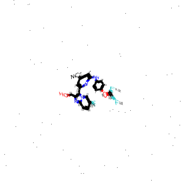 N#Cc1cc(Nc2ccc(OC(F)F)cc2)nc(-c2c(CO)nc3ccc(F)cn23)c1